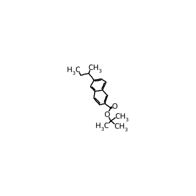 CCC(C)c1ccc2cc(C(=O)OC(C)(C)C)ccc2c1